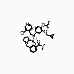 CN(C)C(=O)c1cccc(CN2CCC[C@H]2C(=O)O[C@@H](Cc2c(Cl)cncc2Cl)c2ccc(OC(F)F)c(OCC3CC3)c2)c1